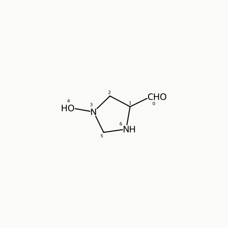 O=CC1CN(O)CN1